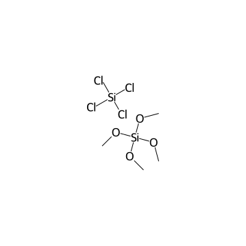 CO[Si](OC)(OC)OC.Cl[Si](Cl)(Cl)Cl